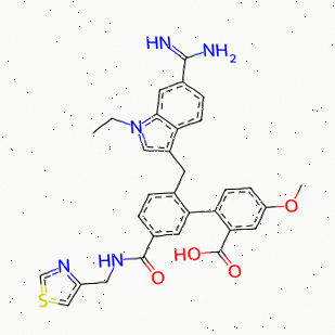 CCn1cc(Cc2ccc(C(=O)NCc3cscn3)cc2-c2ccc(OC)cc2C(=O)O)c2ccc(C(=N)N)cc21